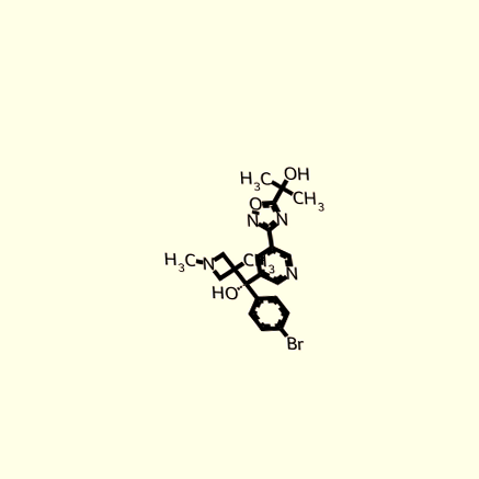 CN1CC(C)([C@](O)(c2ccc(Br)cc2)c2cncc(-c3noc(C(C)(C)O)n3)c2)C1